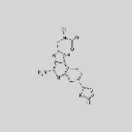 CCC(=O)N(CC)Cc1nc2c(N)nc3cc(-c4cc[nH]n4)ccc3c2[nH]1